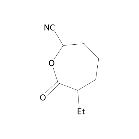 CCC1CCCC(C#N)OC1=O